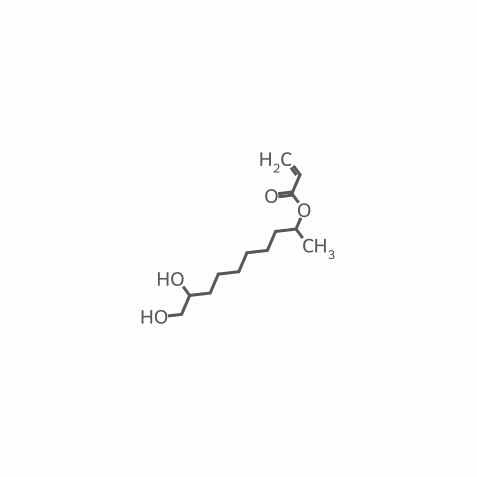 C=CC(=O)OC(C)CCCCCCC(O)CO